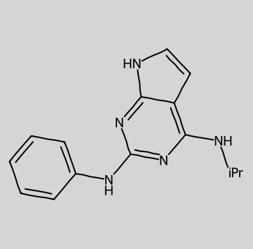 CC(C)Nc1nc(Nc2ccccc2)nc2[nH]ccc12